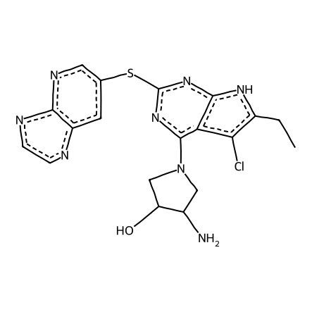 CCc1[nH]c2nc(Sc3cnc4nccnc4c3)nc(N3CC(N)C(O)C3)c2c1Cl